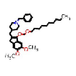 CCCCCCCCCCOCOC1=C(CC2CCN(Cc3ccccc3)CC2)Cc2cc(OC)c(OC)cc21